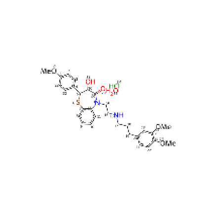 COc1ccc(C2Sc3ccccc3N(CCNCCCc3ccc(OC)c(OC)c3)C(=O)C2O)cc1.Cl.O